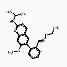 CCO/N=C/c1ccccc1-c1cc2cnc(NC(C)C)nc2cc1OC